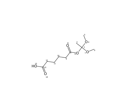 COC(C)(OC)OC(=O)CCCCC(=O)O